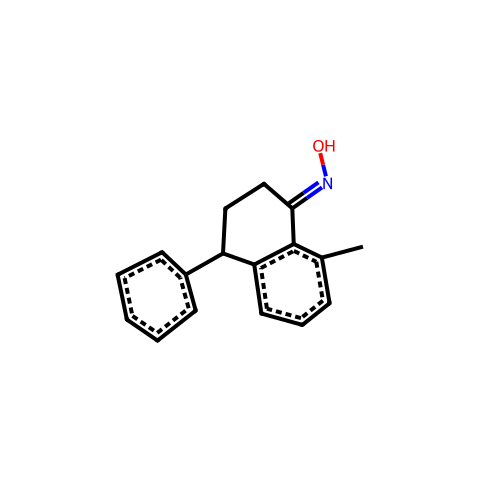 Cc1cccc2c1/C(=N/O)CCC2c1ccccc1